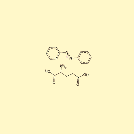 NC(CCC(=O)O)C(=O)O.c1ccc(/N=N/c2ccccc2)cc1